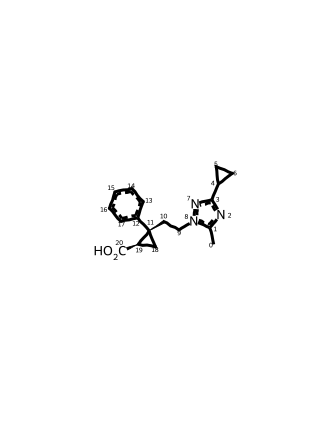 Cc1nc(C2CC2)nn1CC[C@@]1(c2ccccc2)C[C@H]1C(=O)O